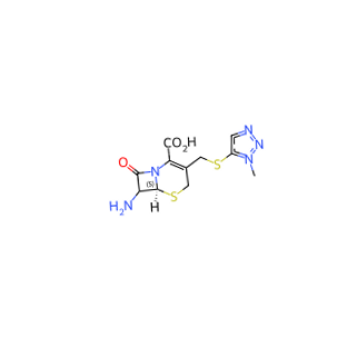 Cn1nncc1SCC1=C(C(=O)O)N2C(=O)C(N)[C@@H]2SC1